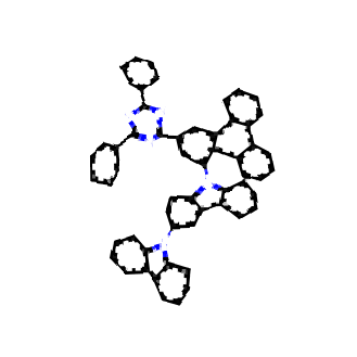 c1ccc(-c2nc(-c3ccccc3)nc(-c3cc(-n4c5ccccc5c5cc(-n6c7ccccc7c7ccccc76)ccc54)c4c5ccccc5c5ccccc5c4c3)n2)cc1